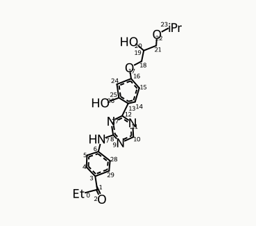 CCC(=O)c1ccc(Nc2ncnc(-c3ccc(OCC(O)COC(C)C)cc3O)n2)cc1